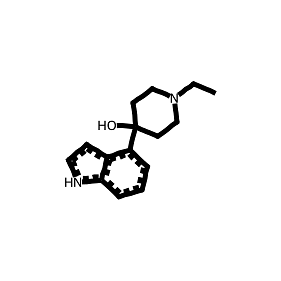 CCN1CCC(O)(c2cccc3[nH]ccc23)CC1